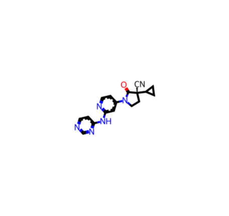 N#C[C@@]1(C2CC2)CCN(c2ccnc(Nc3ccncn3)c2)C1=O